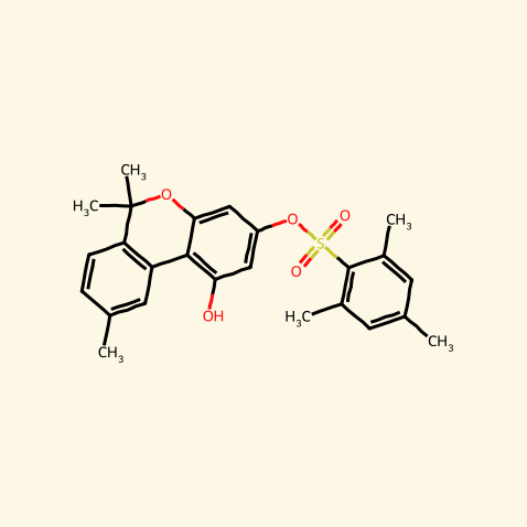 Cc1cc(C)c(S(=O)(=O)Oc2cc(O)c3c(c2)OC(C)(C)c2ccc(C)cc2-3)c(C)c1